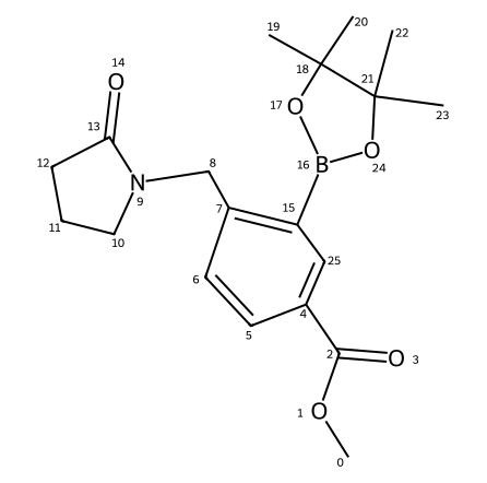 COC(=O)c1ccc(CN2CCCC2=O)c(B2OC(C)(C)C(C)(C)O2)c1